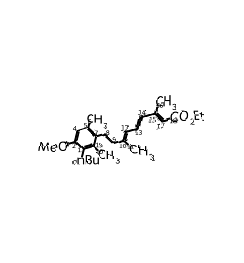 CCCCc1c(OC)cc(C)c(C=CC(C)=CC=CC(C)=CC(=O)OCC)c1C